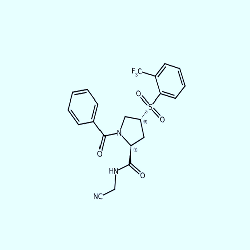 N#CCNC(=O)[C@@H]1C[C@@H](S(=O)(=O)c2ccccc2C(F)(F)F)CN1C(=O)c1ccccc1